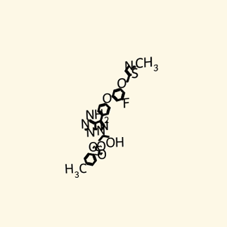 Cc1ccc(S(=O)(=O)OCC(CO)n2nc(-c3ccc(Oc4cc(F)cc(OCc5cnc(C)s5)c4)cc3)c3c(N)ncnc32)cc1